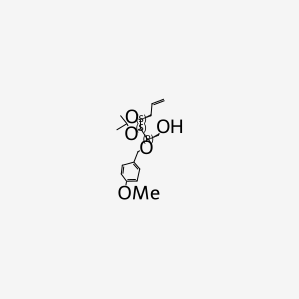 C=CC[C@@H]1OC(C)(C)O[C@@H]1[C@@H](CO)OCc1ccc(OC)cc1